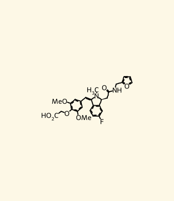 COc1cc(/C=C2\c3ccc(F)cc3[C@H](CC(=O)NCc3ccco3)N2C)cc(OC)c1OCC(=O)O